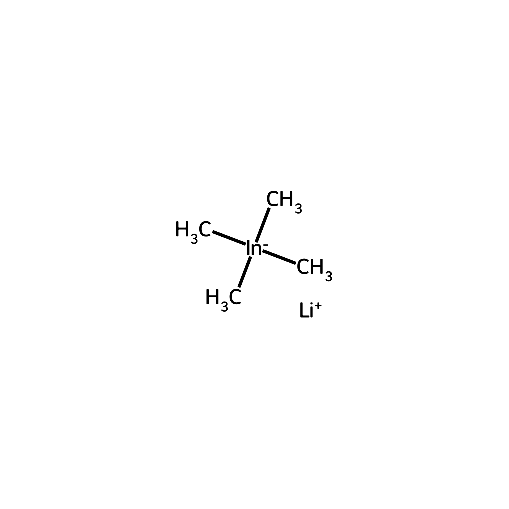 [CH3][In-]([CH3])([CH3])[CH3].[Li+]